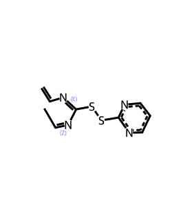 C=C/N=C(\N=C/C)SSc1ncccn1